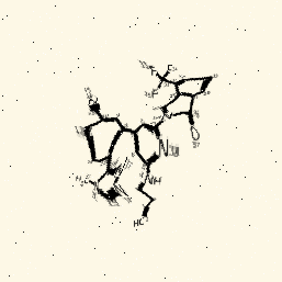 C#CCCNc1cc(-c2cc(C#N)ccc2-c2nncn2C)cc(N2Cc3c(cccc3C(F)(F)F)C2=O)n1